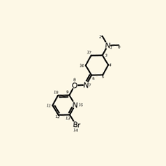 CN(C)C1CCC(=NOc2cccc(Br)n2)CC1